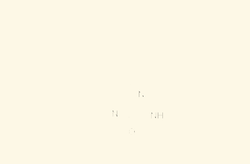 CNC1N=C(c2ccc(C)cc2)c2ccccc2N(C)C1=O